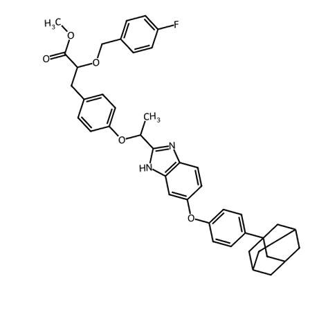 COC(=O)C(Cc1ccc(OC(C)c2nc3ccc(Oc4ccc(C56CC7CC(CC(C7)C5)C6)cc4)cc3[nH]2)cc1)OCc1ccc(F)cc1